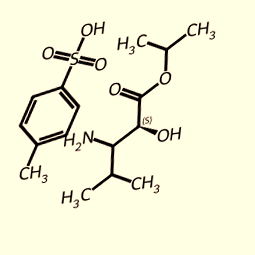 CC(C)OC(=O)[C@@H](O)C(N)C(C)C.Cc1ccc(S(=O)(=O)O)cc1